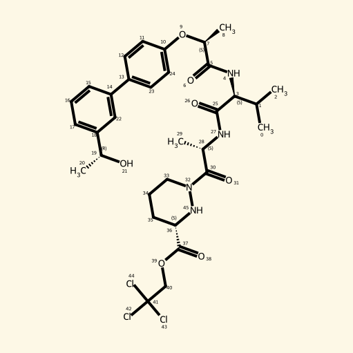 CC(C)[C@H](NC(=O)[C@H](C)Oc1ccc(-c2cccc([C@@H](C)O)c2)cc1)C(=O)N[C@@H](C)C(=O)N1CCC[C@@H](C(=O)OCC(Cl)(Cl)Cl)N1